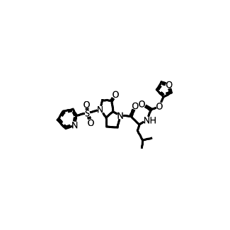 CC(C)CC(NC(=O)Oc1ccoc1)C(=O)N1CCC2C1C(=O)CN2S(=O)(=O)c1ccccn1